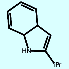 CC(C)C1=CC2C=CC=CC2N1